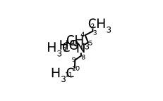 CC.CCCCN(O)CCCC